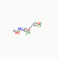 CC(N)(CO)CCc1ccc(OCCCc2ccc(OC(F)(F)F)cc2)c(C(F)(F)F)c1